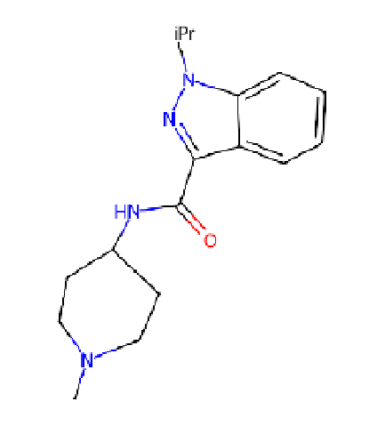 CC(C)n1nc(C(=O)NC2CCN(C)CC2)c2ccccc21